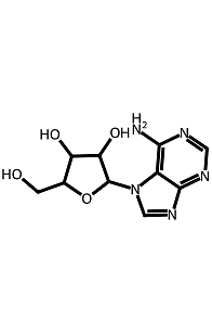 Nc1ncnc2ncn(C3OC(CO)C(O)C3O)c12